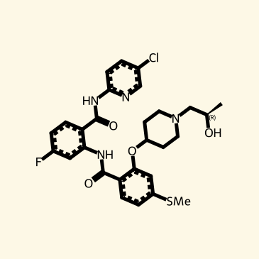 CSc1ccc(C(=O)Nc2cc(F)ccc2C(=O)Nc2ccc(Cl)cn2)c(OC2CCN(C[C@@H](C)O)CC2)c1